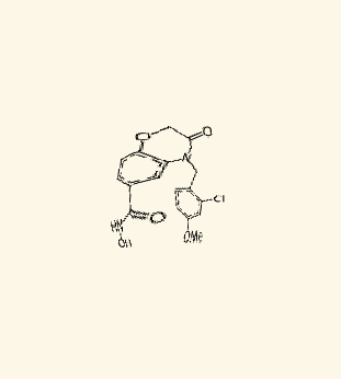 COc1ccc(CN2C(=O)COc3ccc(C(=O)NO)cc32)c(Cl)c1